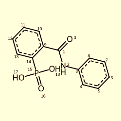 O=C(Nc1ccccc1)c1ccccc1P(=O)(O)O